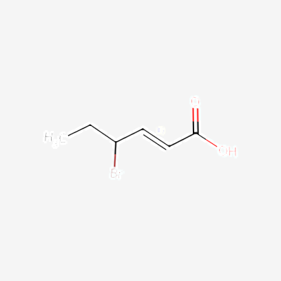 CCC(Br)/C=C/C(=O)O